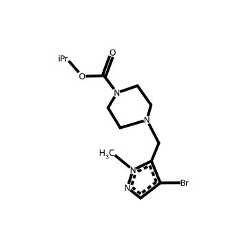 CC(C)OC(=O)N1CCN(Cc2c(Br)cnn2C)CC1